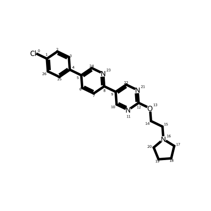 Clc1ccc(-c2ccc(-c3cnc(OCCN4CCCC4)nc3)nc2)cc1